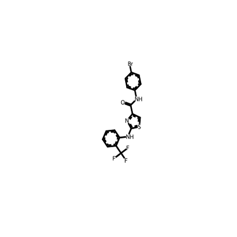 O=C(Nc1ccc(Br)cc1)c1csc(Nc2ccccc2C(F)(F)F)n1